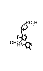 Cc1cc(NN(C=O)c2cccc(CN3CCN(C(=O)O)C[C@H]3C)c2F)ccn1